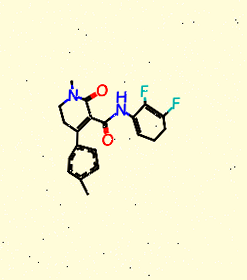 Cc1ccc(C2=C(C(=O)NC3=CCCC(F)=C3F)C(=O)N(C)CC2)cc1